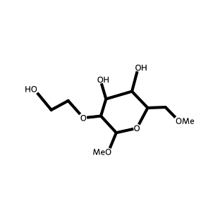 COCC1OC(OC)C(OCCO)C(O)C1O